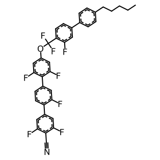 CCCCCc1ccc(-c2ccc(C(F)(F)Oc3cc(F)c(-c4ccc(-c5cc(F)c(C#N)c(F)c5)c(F)c4)c(F)c3)c(F)c2)cc1